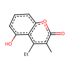 CCc1c(C)c(=O)oc2cccc(O)c12